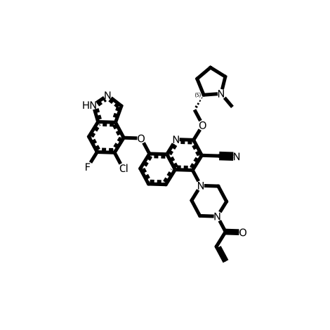 C=CC(=O)N1CCN(c2c(C#N)c(OC[C@@H]3CCCN3C)nc3c(Oc4c(Cl)c(F)cc5[nH]ncc45)cccc23)CC1